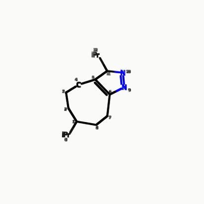 CC(C)C1CCCC2=C(CC1)N=NC2C(C)C